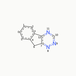 c1ccc2c(c1)Cc1nncnc1-2